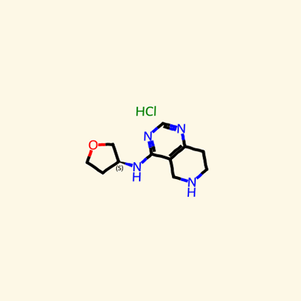 Cl.c1nc2c(c(N[C@H]3CCOC3)n1)CNCC2